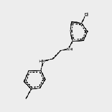 Cc1ccc(NCCNc2ccc(Cl)cc2)cc1